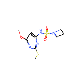 COc1cc(NS(=O)(=O)N2CCC2)nc(SC)n1